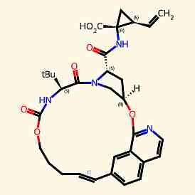 C=C[C@@H]1C[C@]1(NC(=O)[C@@H]1C[C@@H]2CN1C(=O)[C@H](C(C)(C)C)NC(=O)OCCC/C=C/c1ccc3ccnc(c3c1)O2)C(=O)O